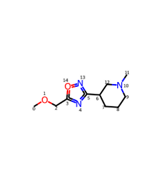 COCc1nc(C2CCCN(C)C2)no1